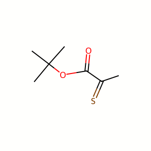 CC(=S)C(=O)OC(C)(C)C